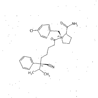 CC(C)[C@@](C#N)(CCCCC(=O)[N@@+]1(Cc2ccc(Cl)cc2)CCCC1C(N)=O)c1ccccc1